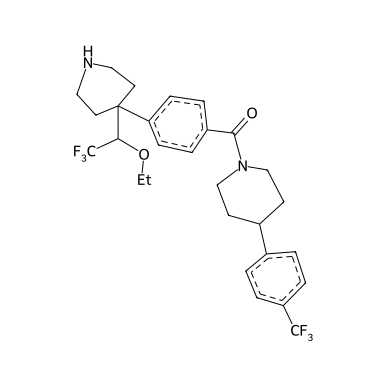 CCOC(C(F)(F)F)C1(c2ccc(C(=O)N3CCC(c4ccc(C(F)(F)F)cc4)CC3)cc2)CCNCC1